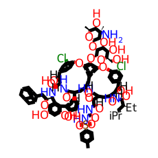 CC[C@H](CC(C)C)C(=O)N[C@H]1C(=O)C[C@@H](CC(=O)NC(=O)NS(=O)(=O)c2ccc(C)cc2)C(=O)N[C@H]2C(=O)C[C@H]3C(=O)N[C@H](C(=O)N[C@H](C(=O)CC4C5CC6CC(C5)CC4C6)c4cc(O)cc(O)c4-c4cc3ccc4O)[C@H](O)c3ccc(c(Cl)c3)Oc3cc2cc(c3O[C@@H]2O[C@H](CO)[C@@H](O)[C@H](O)[C@H]2O[C@H]2C[C@](C)(N)[C@H](O)[C@H](C)O2)Oc2ccc(cc2Cl)[C@H]1O